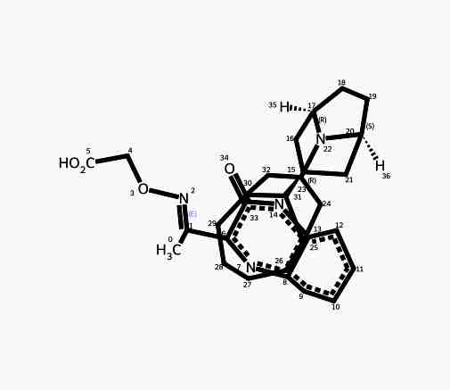 C/C(=N\OCC(=O)O)c1nc2ccccc2n([C@H]2C[C@H]3CC[C@@H](C2)N3C2CC3CCCCC(C3)C2)c1=O